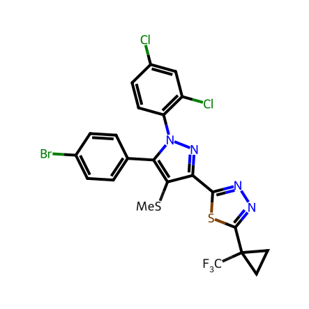 CSc1c(-c2nnc(C3(C(F)(F)F)CC3)s2)nn(-c2ccc(Cl)cc2Cl)c1-c1ccc(Br)cc1